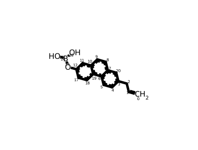 C=CCc1ccc2c(ccc3cc(OB(O)O)ccc32)c1